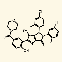 Cc1cc(Cl)ccc1C1c2c(nc(-c3cc(C(=O)N4CCOCC4)ccc3O)n2C(C)C)C(=O)N1c1cc(Cl)ccc1C